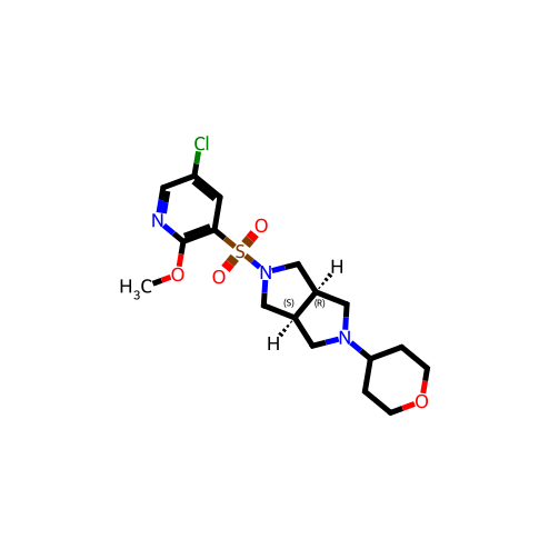 COc1ncc(Cl)cc1S(=O)(=O)N1C[C@H]2CN(C3CCOCC3)C[C@H]2C1